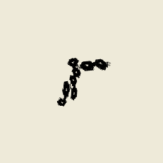 Fc1ccc(-c2ccc(-n3c4ccccc4c4cc(-c5ccc6c(c5)c5ccccc5n6-c5cccc(-c6ccccc6)c5)ccc43)cc2)cc1